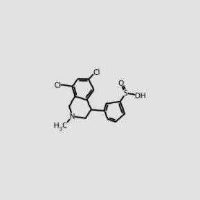 CN1Cc2c(Cl)cc(Cl)cc2C(c2cccc(S(=O)O)c2)C1